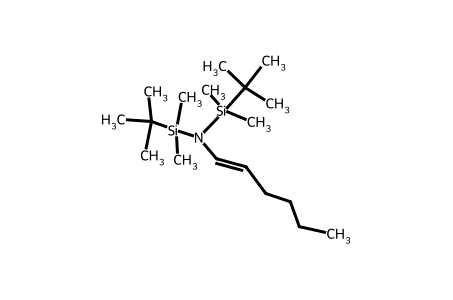 CCCCC=CN([Si](C)(C)C(C)(C)C)[Si](C)(C)C(C)(C)C